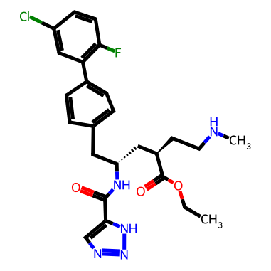 CCOC(=O)[C@H](CCNC)C[C@@H](Cc1ccc(-c2cc(Cl)ccc2F)cc1)NC(=O)c1cnn[nH]1